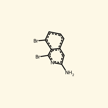 Nc1cc2cccc(Br)c2c(Br)n1